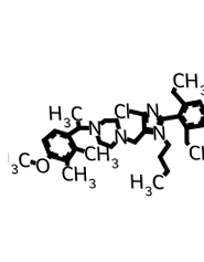 CCCCn1c(-c2c(CC)cccc2CC)nc(Cl)c1CN1CCN(C(C)c2ccc(OC)c(C)c2C)CC1